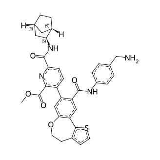 COC(=O)c1nc(C(=O)N[C@H]2C[C@@H]3CC[C@H]2C3)ccc1-c1cc2c(cc1C(=O)Nc1ccc(CN)cc1)-c1sccc1CCO2